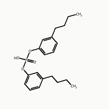 CCCCc1cccc(OP(=O)(O)Oc2cccc(CCCC)c2)c1